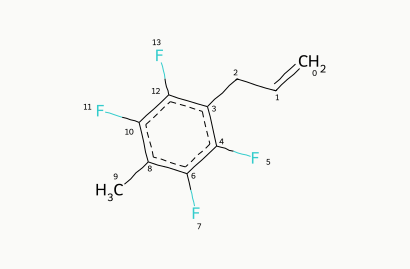 C=CCc1c(F)c(F)c(C)c(F)c1F